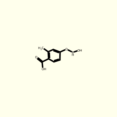 Cc1cc(OBO)ccc1C(=O)O